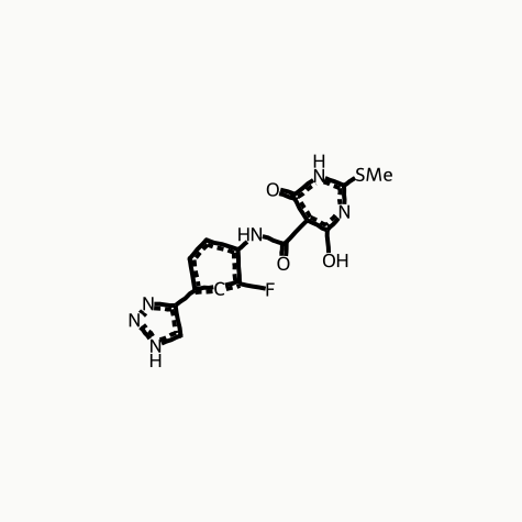 CSc1nc(O)c(C(=O)Nc2ccc(-c3c[nH]nn3)cc2F)c(=O)[nH]1